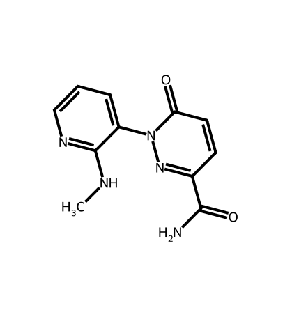 CNc1ncccc1-n1nc(C(N)=O)ccc1=O